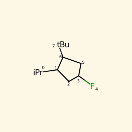 CC(C)C1CC(F)CC1C(C)(C)C